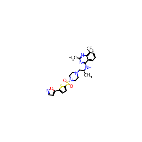 Cc1nc(N[C@@H](C)CN2CCN(S(=O)(=O)c3ccc(-c4ccno4)s3)CC2)c2cccc(C(F)(F)F)c2n1